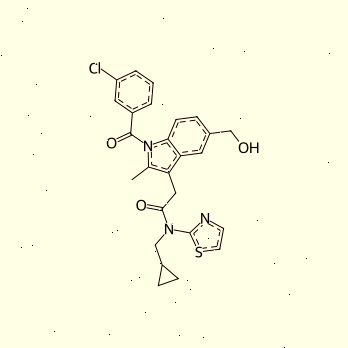 Cc1c(CC(=O)N(CC2CC2)c2nccs2)c2cc(CO)ccc2n1C(=O)c1cccc(Cl)c1